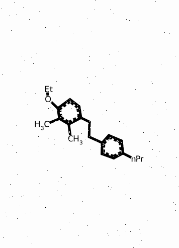 CCCc1ccc(CCc2ccc(OCC)c(C)c2C)cc1